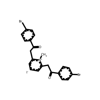 C[n+]1c(CC(=O)c2ccc(Br)cc2)cccc1CC(=O)c1ccc(Br)cc1.[I-]